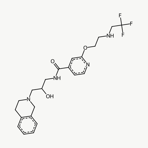 O=C(NCC(O)CN1CCc2ccccc2C1)c1ccnc(OCCNCC(F)(F)F)c1